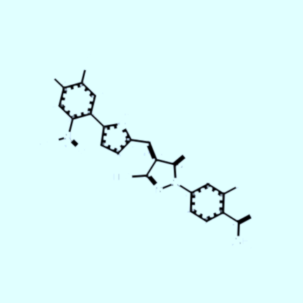 CC1=NN(c2ccc(C(N)=O)c(Cl)c2)C(=O)/C1=C/c1ccc(-c2cc(C)c(C)cc2[N+](=O)[O-])o1